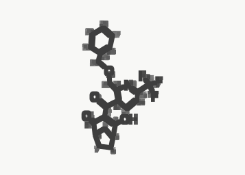 O=C(C1=C(O)C2CCC(C2)C1=O)c1ccc(C(F)(F)F)nc1COCc1ccccc1